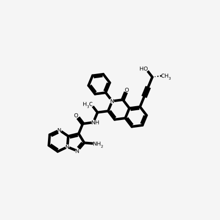 CC(NC(=O)c1c(N)nn2cccnc12)c1cc2cccc(C#C[C@@H](C)O)c2c(=O)n1-c1ccccc1